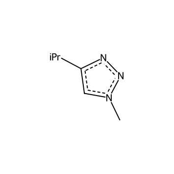 CC(C)c1cn(C)nn1